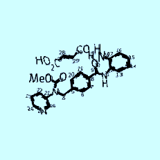 COC(=O)N(Cc1ccc(C(=O)Nc2ccccc2N)cc1)c1cccnc1.O=C(O)/C=C/C(=O)O